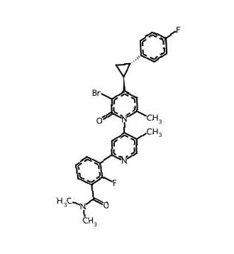 Cc1cnc(-c2cccc(C(=O)N(C)C)c2F)cc1-n1c(C)cc([C@H]2C[C@@H]2c2ccc(F)cc2)c(Br)c1=O